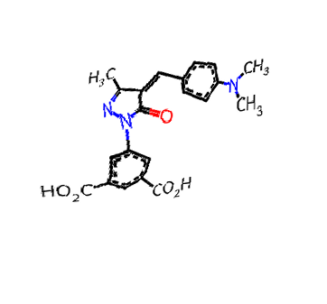 CC1=NN(c2cc(C(=O)O)cc(C(=O)O)c2)C(=O)C1=Cc1ccc(N(C)C)cc1